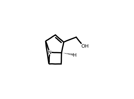 OCC1=CC2C3C[C@H]1N23